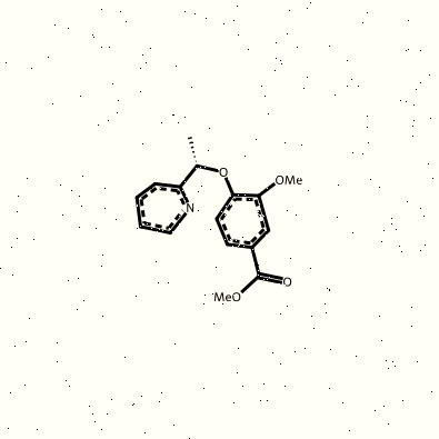 COC(=O)c1ccc(O[C@@H](C)c2ccccn2)c(OC)c1